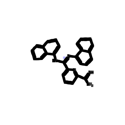 N=C(N)c1cccc(/C(=N\c2cccc3ccccc23)Nc2cccc3ccccc23)n1